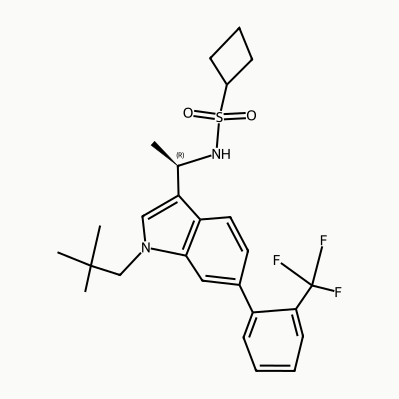 C[C@@H](NS(=O)(=O)C1CCC1)c1cn(CC(C)(C)C)c2cc(-c3ccccc3C(F)(F)F)ccc12